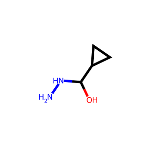 NNC(O)C1CC1